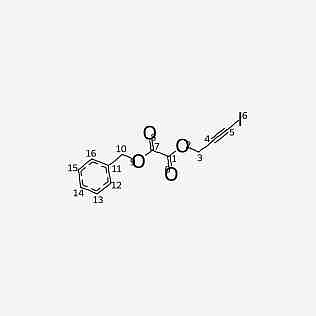 O=C(OCC#CI)C(=O)OCc1ccccc1